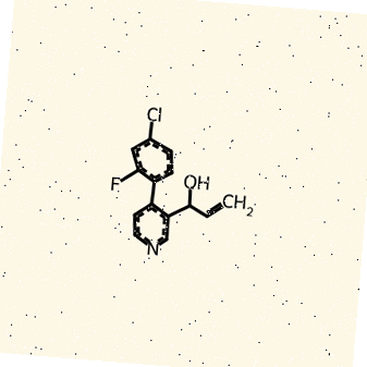 C=CC(O)c1cnccc1-c1ccc(Cl)cc1F